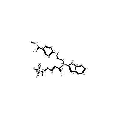 COC(=O)c1ccc(OCCN(C(=O)C=CCNS(C)(=O)=O)c2cc3ccccc3o2)cc1